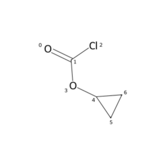 O=C(Cl)OC1CC1